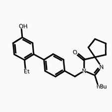 CCCCC1=NC2(CCCC2)C(=O)N1Cc1ccc(-c2cc(O)ccc2CC)cc1